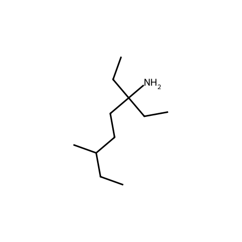 CCC(C)CCC(N)(CC)CC